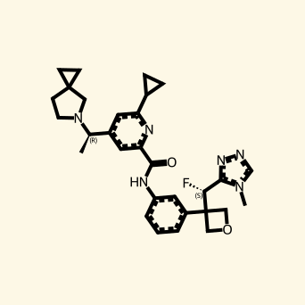 C[C@H](c1cc(C(=O)Nc2cccc(C3([C@H](F)c4nncn4C)COC3)c2)nc(C2CC2)c1)N1CCC2(CC2)C1